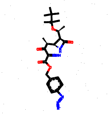 C[C@@H](O[Si](C)(C)C(C)(C)C)[C@H]1C(=O)N[C@@H]1[C@@H](C)C(=O)C(=N)C(=O)OCc1ccc(N=[N+]=[N-])cc1